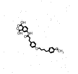 COc1ccc(CCCCOc2ccc(CCC(=O)Nc3ccc(C(=O)O)c(C(=O)O)c3)cc2)cc1